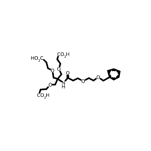 O=C(O)CCOCC(COCCC(=O)O)(COCCC(=O)O)NC(=O)CCOCCOCc1ccccc1